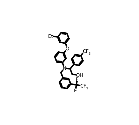 CCc1cccc(Oc2cccc(N(Cc3cccc(C(F)(F)C(F)(F)F)c3)C(CO)c3ccc(C(F)(F)F)cc3)c2)c1